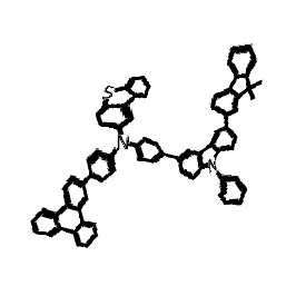 CC1(C)c2ccccc2-c2ccc(-c3ccc4c(c3)c3cc(-c5ccc(N(c6ccc(-c7ccc8c9ccccc9c9ccccc9c8c7)cc6)c6ccc7sc8ccccc8c7c6)cc5)ccc3n4-c3ccccc3)cc21